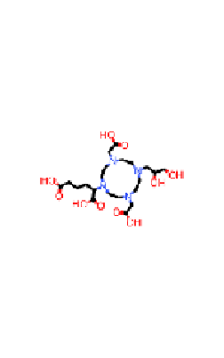 O=C(O)CCCC(C(=O)O)N1CCN(CC(=O)O)CCN(CC(O)CO)CCN(CC(=O)O)CC1